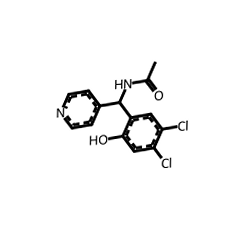 CC(=O)NC(c1ccncc1)c1cc(Cl)c(Cl)cc1O